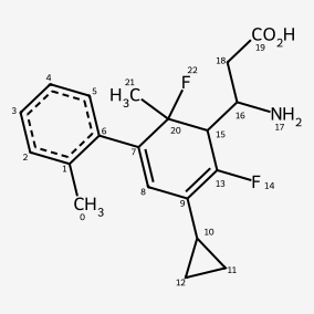 Cc1ccccc1C1=CC(C2CC2)=C(F)C(C(N)CC(=O)O)C1(C)F